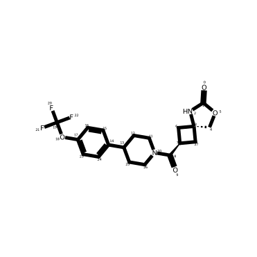 O=C1N[C@]2(CO1)C[C@H](C(=O)N1CCC(c3ccc(OC(F)(F)F)cc3)CC1)C2